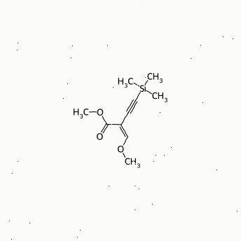 COC=C(C#C[Si](C)(C)C)C(=O)OC